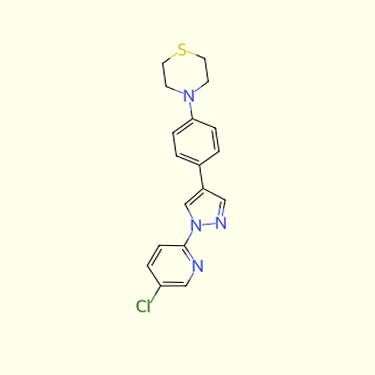 Clc1ccc(-n2cc(-c3ccc(N4CCSCC4)cc3)cn2)nc1